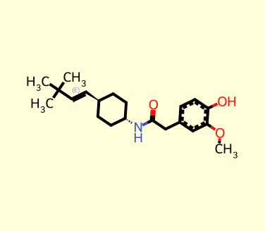 COc1cc(CC(=O)N[C@H]2CC[C@H](/C=C/C(C)(C)C)CC2)ccc1O